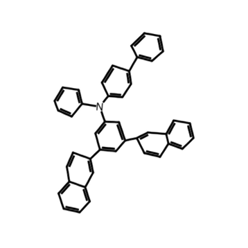 c1ccc(-c2ccc(N(c3ccccc3)c3cc(-c4ccc5ccccc5c4)cc(-c4ccc5ccccc5c4)c3)cc2)cc1